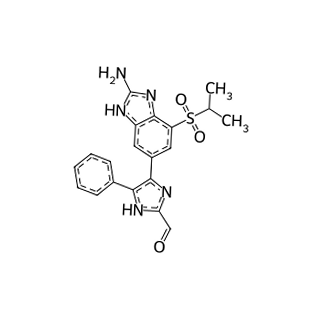 CC(C)S(=O)(=O)c1cc(-c2nc(C=O)[nH]c2-c2ccccc2)cc2[nH]c(N)nc12